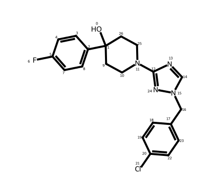 OC1(c2ccc(F)cc2)CCN(c2ncn(Cc3ccc(Cl)cc3)n2)CC1